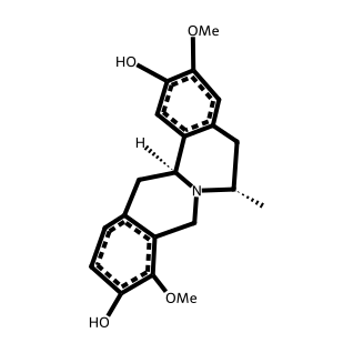 COc1cc2c(cc1O)[C@@H]1Cc3ccc(O)c(OC)c3CN1[C@@H](C)C2